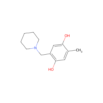 Cc1cc(O)c(CN2CCCCC2)cc1O